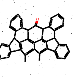 Cc1c2c3c4c5c6c7c(c(C)c15)-c1ccccc1C7c1ccccc1C6C(=O)C4c1ccccc1C3c1ccccc1-2